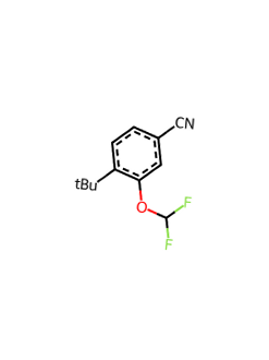 CC(C)(C)c1ccc(C#N)cc1OC(F)F